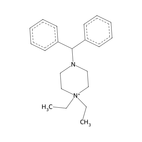 CC[N+]1(CC)CCN(C(c2ccccc2)c2ccccc2)CC1